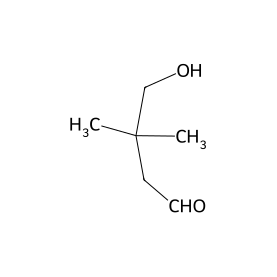 CC(C)(CO)CC=O